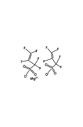 O=S(=O)([O-])C(F)(F)C(F)=C(F)F.O=S(=O)([O-])C(F)(F)C(F)=C(F)F.[Mg+2]